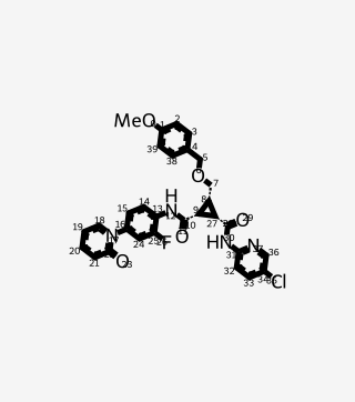 COc1ccc(COC[C@H]2[C@@H](C(=O)Nc3ccc(-n4ccccc4=O)cc3F)[C@H]2C(=O)Nc2ccc(Cl)cn2)cc1